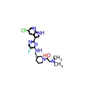 CN(C)CC(O)N1CCC[C@@H](CNc2nc(-c3c[nH]c4ncc(Cl)cc34)ncc2F)C1